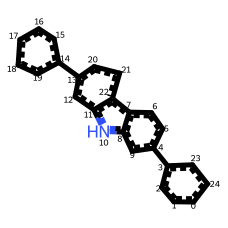 c1ccc(-c2ccc3c(c2)[nH]c2cc(-c4ccccc4)ccc23)cc1